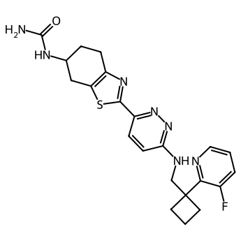 NC(=O)NC1CCc2nc(-c3ccc(NCC4(c5ncccc5F)CCC4)nn3)sc2C1